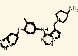 Cc1cc(Nc2ncnn3ccc(CN4CCC(N)CC4)c23)ccc1Oc1ccn2ncnc2c1